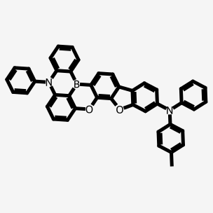 Cc1ccc(N(c2ccccc2)c2ccc3c(c2)oc2c4c(ccc23)B2c3ccccc3N(c3ccccc3)c3cccc(c32)O4)cc1